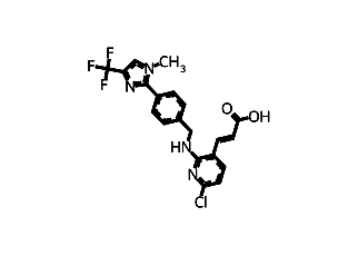 Cn1cc(C(F)(F)F)nc1-c1ccc(CNc2nc(Cl)ccc2/C=C/C(=O)O)cc1